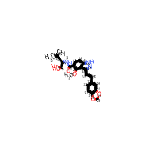 COc1c(C(=O)NC(CO)C(C)C)ccc2[nH]nc(/C=C/c3ccc4c(c3)OCO4)c12